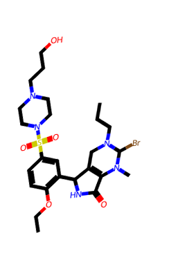 CCCN1CC2=C(C(=O)NC2c2cc(S(=O)(=O)N3CCN(CCCO)CC3)ccc2OCC)N(C)C1Br